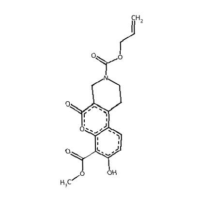 C=CCOC(=O)N1CCc2c(c(=O)oc3c(C(=O)OC)c(O)ccc23)C1